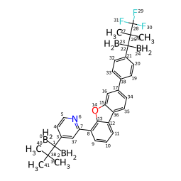 BC(B)(c1ccnc(-c2cccc3c2oc2cc(-c4ccc(C(B)(B)C(C)(C)C(F)(F)F)cc4)ccc23)c1)C(C)(C)C